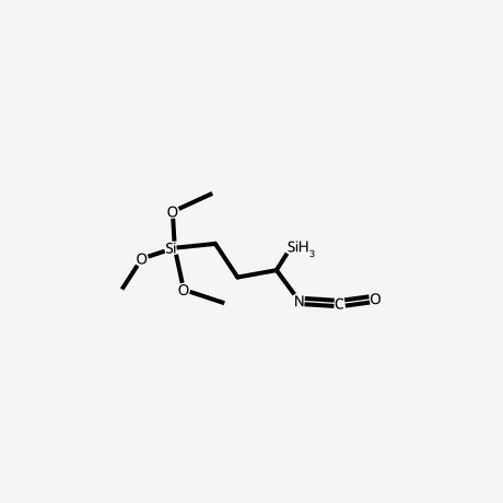 CO[Si](CCC([SiH3])N=C=O)(OC)OC